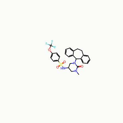 CN1CC(NS(=O)(=O)c2ccc(OC(F)(F)F)cc2)CN(C2c3ccccc3CCc3ccccc32)C1=O